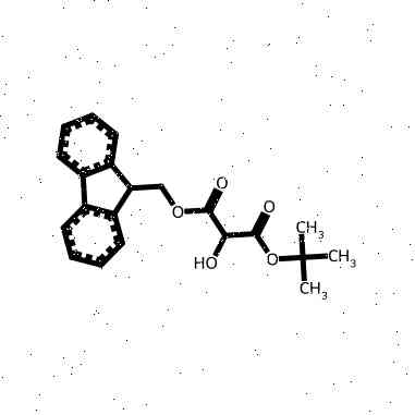 CC(C)(C)OC(=O)C(O)C(=O)OCC1c2ccccc2-c2ccccc21